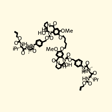 C=CCOC(=O)N[C@H](C(=O)N[C@@H](C)C(=O)Nc1ccc(COC(=O)N2c3cc(OCCCCCOc4cc5c(cc4OC)C(=O)N4CCC[C@H]4[C@H](O)N5C(=O)OCc4ccc(NC(=O)[C@H](C)NC(=O)[C@@H](NC(=O)OCC=C)C(C)C)cc4)c(OC)cc3C(=O)N3CCC[C@H]3[C@@H]2O)cc1)C(C)C